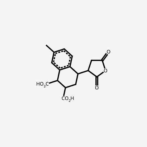 Cc1ccc2c(c1)C(C(=O)O)C(C(=O)O)CC2C1CC(=O)OC1=O